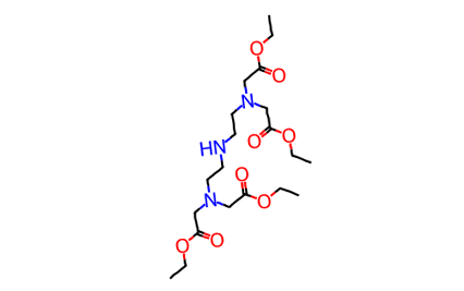 CCOC(=O)CN(CCNCCN(CC(=O)OCC)CC(=O)OCC)CC(=O)OCC